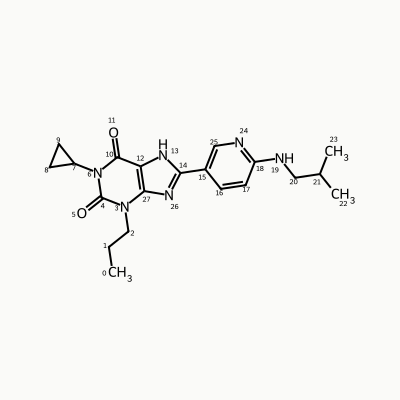 CCCn1c(=O)n(C2CC2)c(=O)c2[nH]c(-c3ccc(NCC(C)C)nc3)nc21